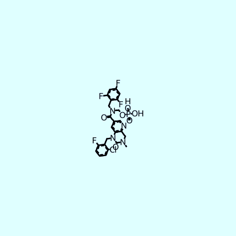 CN1Cc2ncc(C(=O)N(COP(=O)(O)O)Cc3c(F)cc(F)cc3F)cc2N(Cc2c(F)cccc2Cl)C1=O